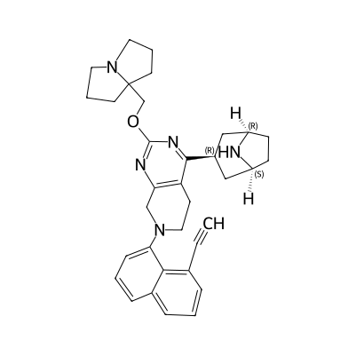 C#Cc1cccc2cccc(N3CCc4c(nc(OCC56CCCN5CCC6)nc4[C@H]4C[C@H]5CC[C@@H](C4)N5)C3)c12